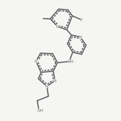 Cc1ccc(F)c(-c2cc(Nc3ccnc4cn(CCO)nc34)ccn2)n1